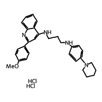 COc1ccc(-c2cc(NCCCNc3ccc(N4CCCCC4)cc3)c3ccccc3n2)cc1.Cl.Cl